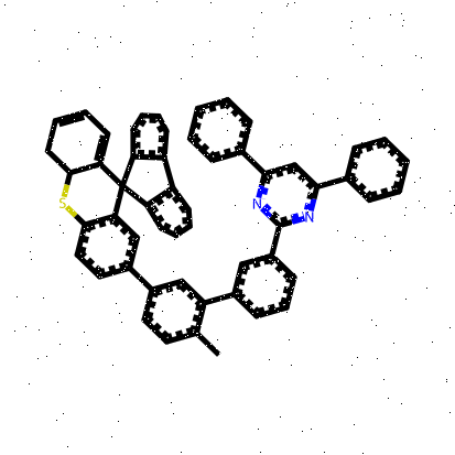 Cc1ccc(-c2ccc3c(c2)C2(C4=CC=CCC4S3)c3ccccc3-c3ccccc32)cc1-c1cccc(-c2nc(-c3ccccc3)cc(-c3ccccc3)n2)c1